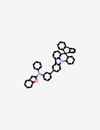 c1ccc(N(c2cccc(-c3ccc4c(c3)c3cccc5c3n4-c3ccccc3C53c4ccccc4-c4ccccc43)c2)c2cc3ccccc3o2)cc1